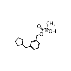 C[C@H](O)C(=O)OCc1cccc(CC2CCCC2)c1